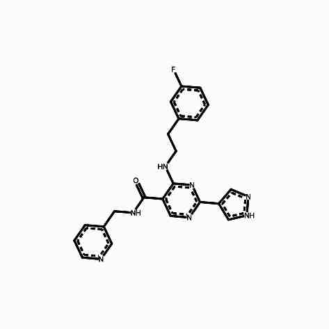 O=C(NCc1cccnc1)c1cnc(-c2cn[nH]c2)nc1NCCc1cccc(F)c1